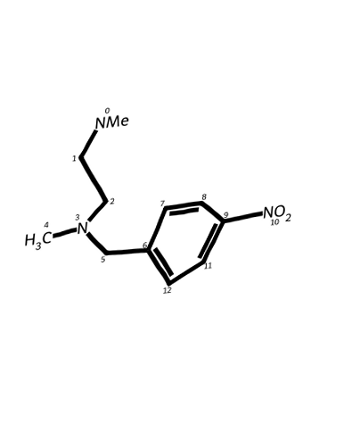 CNCCN(C)Cc1ccc([N+](=O)[O-])cc1